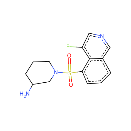 NC1CCCN(S(=O)(=O)c2cccc3cncc(F)c23)C1